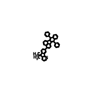 CC1(C)c2ccc(-c3ccc4c5c(cccc35)-c3c-4c(-c4ccccc4)c4ccccc4c3-c3ccccc3)cc2-c2ncccc21